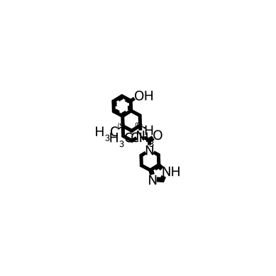 CC1(C)[C@H]2Cc3c(O)cccc3[C@]1(C)CCN2C(=O)N1CCc2nc[nH]c2C1